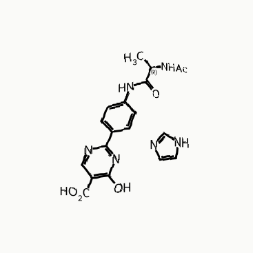 CC(=O)N[C@H](C)C(=O)Nc1ccc(-c2ncc(C(=O)O)c(O)n2)cc1.c1c[nH]cn1